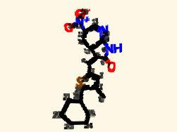 Cc1cc(C=C2C(=O)Nc3ncc([N+](=O)[O-])cc32)sc1C1CCCCC1